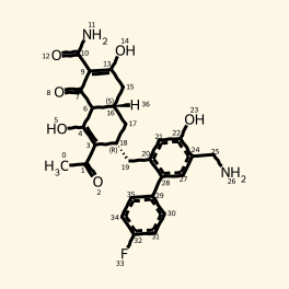 CC(=O)C1=C(O)C2C(=O)C(C(N)=O)=C(O)C[C@@H]2C[C@@H]1Cc1cc(O)c(CN)cc1-c1ccc(F)cc1